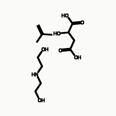 C=C(C)C.O=C(O)CC(O)C(=O)O.OCCNCCO